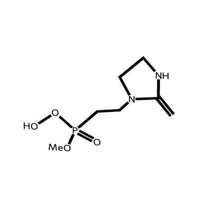 C=C1NCCN1CCP(=O)(OC)OO